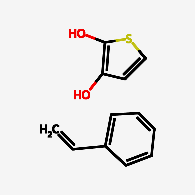 C=Cc1ccccc1.Oc1ccsc1O